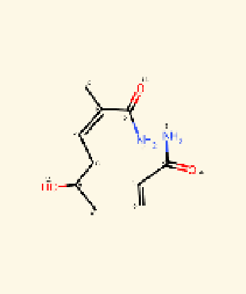 C=CC(N)=O.CC(=CCC(C)O)C(N)=O